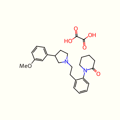 COc1cccc(C2CCN(CCc3ccccc3N3CCCCC3=O)C2)c1.O=C(O)C(=O)O